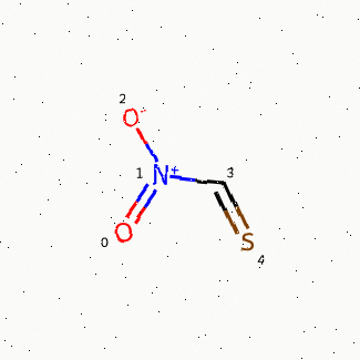 O=[N+]([O-])C=S